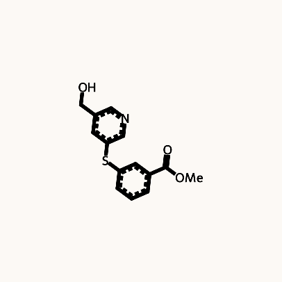 COC(=O)c1cccc(Sc2cncc(CO)c2)c1